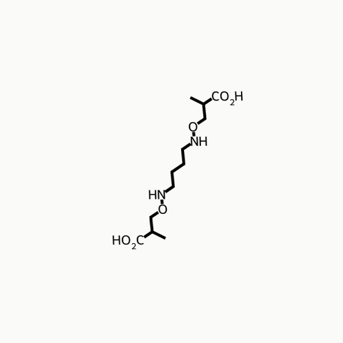 CC(CONCCCCNOCC(C)C(=O)O)C(=O)O